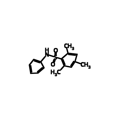 Cc1cc(C)c(S(=O)(=O)Nc2ccccc2)c(C)c1